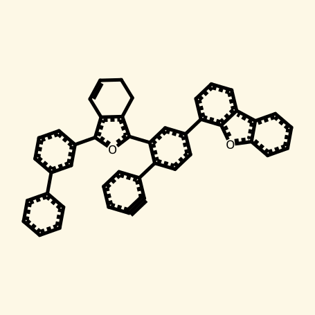 c1cccc(-c2ccc(-c3cccc4c3oc3ccccc34)cc2-c2oc(-c3cccc(-c4ccccc4)c3)c3c2CCC=C3)c#1